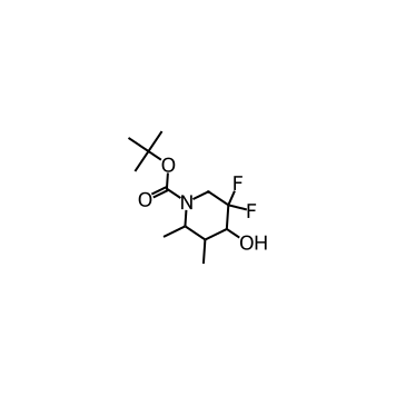 CC1C(C)N(C(=O)OC(C)(C)C)CC(F)(F)C1O